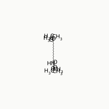 CC(C)(C)OC(=O)CCCCCCCCCCCCCCCCC(=O)NCCC(=O)OC(C)(C)C